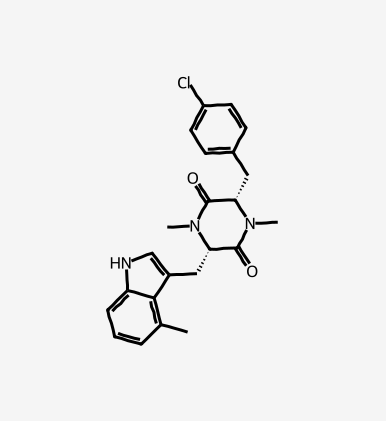 Cc1cccc2[nH]cc(C[C@H]3C(=O)N(C)[C@@H](Cc4ccc(Cl)cc4)C(=O)N3C)c12